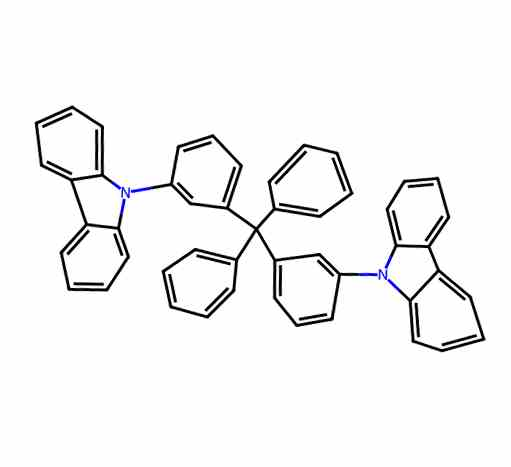 c1ccc(C(c2ccccc2)(c2cccc(-n3c4ccccc4c4ccccc43)c2)c2cccc(-n3c4ccccc4c4ccccc43)c2)cc1